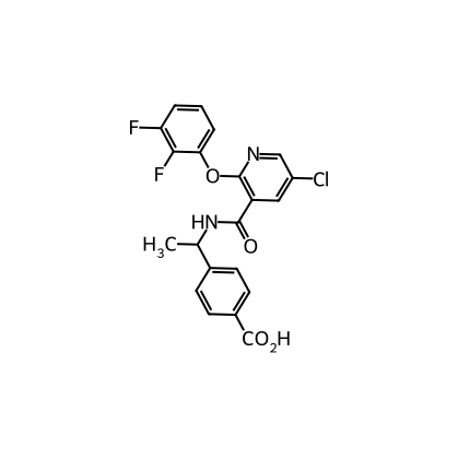 CC(NC(=O)c1cc(Cl)cnc1Oc1cccc(F)c1F)c1ccc(C(=O)O)cc1